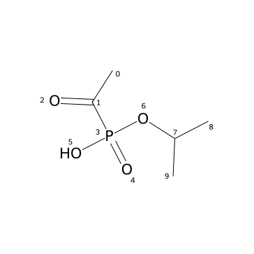 CC(=O)P(=O)(O)OC(C)C